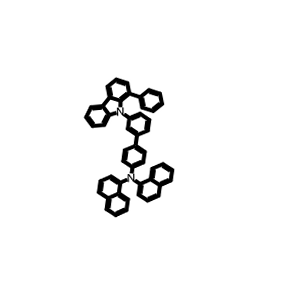 c1ccc(-c2cccc3c4ccccc4n(-c4cccc(-c5ccc(N(c6cccc7ccccc67)c6cccc7ccccc67)cc5)c4)c23)cc1